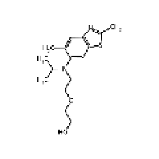 Cc1nc2cc(C)c(N(CCOCCO)C(C)C)cc2s1